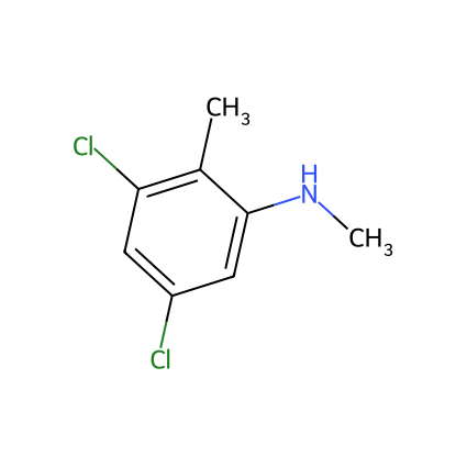 CNc1cc(Cl)cc(Cl)c1C